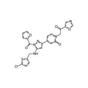 O=C(Cn1ccc(-c2cc(NCc3ccc(Cl)s3)n(C(=O)c3ccco3)n2)cc1=O)c1cnco1